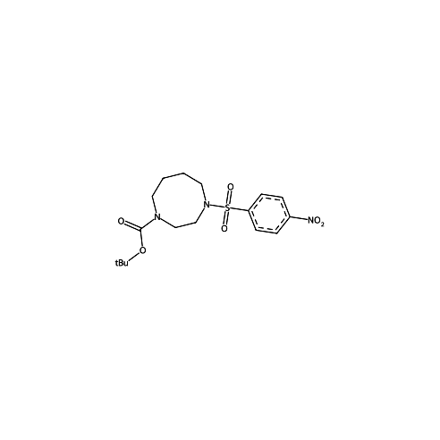 CC(C)(C)OC(=O)N1CCCCN(S(=O)(=O)c2ccc([N+](=O)[O-])cc2)CC1